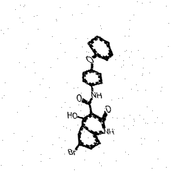 O=C(Nc1ccc(Oc2ccccc2)cc1)c1c(O)c2cc(Br)ccc2[nH]c1=O